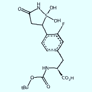 CC(C)(C)OC(=O)N[C@@H](Cc1ccc(C2CC(=O)NS2(O)O)c(F)c1)C(=O)O